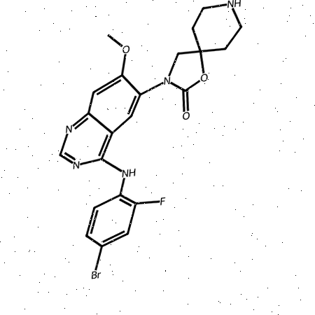 COc1cc2ncnc(Nc3ccc(Br)cc3F)c2cc1N1CC2(CCNCC2)OC1=O